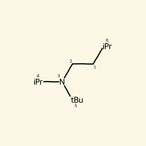 CC(C)CCN(C(C)C)C(C)(C)C